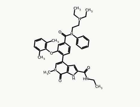 CCNC(=O)c1cc2c(-c3ccc(C(=O)N(CCN(CC)CC)c4ccccc4)cc3Oc3c(C)cccc3C)cn(C)c(=O)c2[nH]1